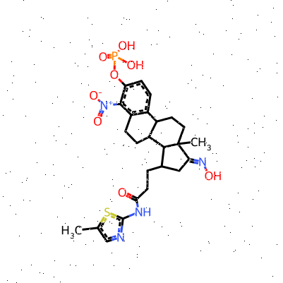 Cc1cnc(NC(=O)CCC2CC(=NO)C3(C)CCC4c5ccc(OP(=O)(O)O)c([N+](=O)[O-])c5CCC4C23)s1